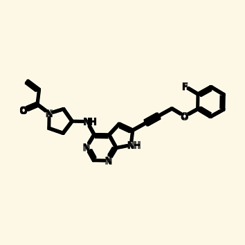 C=CC(=O)N1CCC(Nc2ncnc3[nH]c(C#CCOc4ccccc4F)cc23)C1